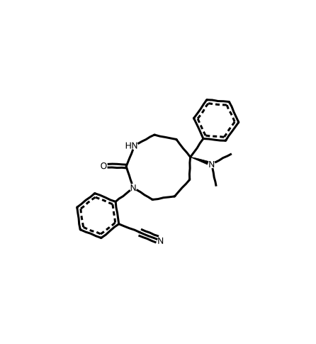 CN(C)[C@@]1(c2ccccc2)CCCN(c2ccccc2C#N)C(=O)NCC1